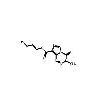 Cn1nnc2c(C(=O)OCCCS)ncn2c1=O